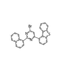 Brc1cc(-c2cccc3sc4ccccc4c23)nc(-c2cccc3ccccc23)n1